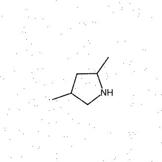 [CH2]C1CNC(C)C1